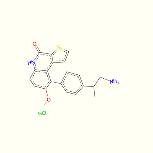 COc1ccc2[nH]c(=O)c3sccc3c2c1-c1ccc(C(C)CN)cc1.Cl